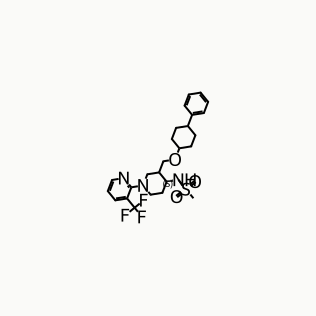 CS(=O)(=O)N[C@H]1CCN(c2ncccc2C(F)(F)F)CC1COC1CCC(c2ccccc2)CC1